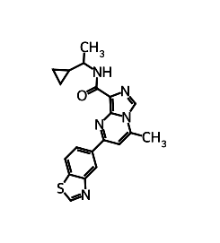 Cc1cc(-c2ccc3scnc3c2)nc2c(C(=O)NC(C)C3CC3)ncn12